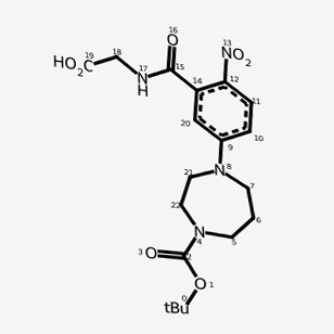 CC(C)(C)OC(=O)N1CCCN(c2ccc([N+](=O)[O-])c(C(=O)NCC(=O)O)c2)CC1